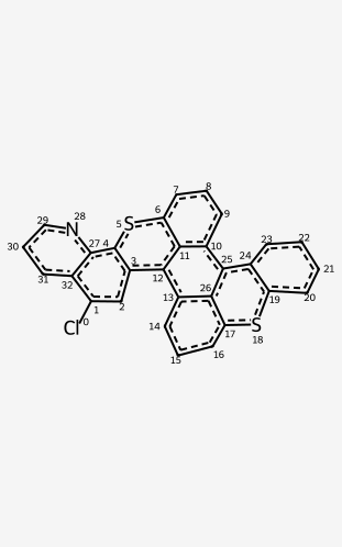 Clc1cc2c(sc3cccc4c3c2c2cccc3sc5ccccc5c4c32)c2ncccc12